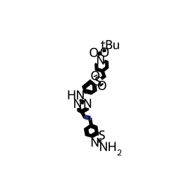 CC(C)(C)OC(=O)N1CCC(CS(=O)(=O)c2ccc(Nc3ncc(/C=C/c4ccc5nc(N)sc5c4)cn3)cc2)CC1